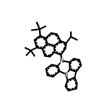 CC(C)c1cc(N2c3ccccc3B3c4ccccc4-c4cccc2c43)c2ccc3c(C(C)(C)C)cc(C(C)(C)C)c4ccc1c2c43